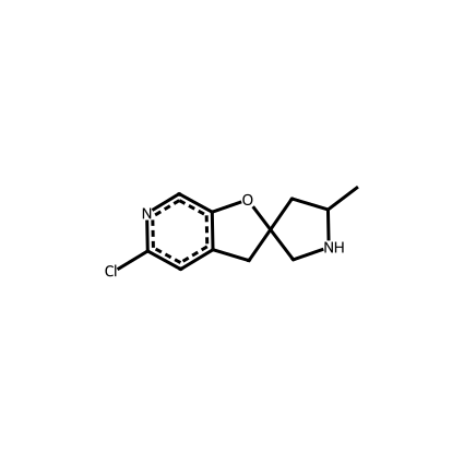 CC1CC2(CN1)Cc1cc(Cl)ncc1O2